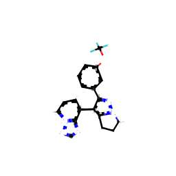 FC(F)(F)Oc1cccc(-c2nn3c(c2-c2cccn4ncnc24)CCC3)c1